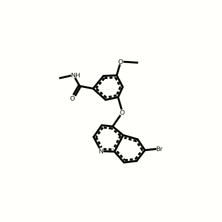 CNC(=O)c1cc(OC)cc(Oc2ccnc3ccc(Br)cc23)c1